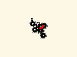 Fc1cccc(-c2nc3ccccc3n2-c2ccccc2-c2nc(-c3ccccc3)nc(-c3ccccc3)n2)c1